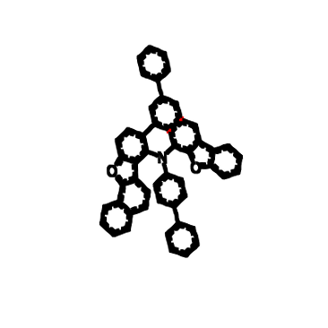 c1ccc(-c2ccc(N(c3cccc4c3oc3ccccc34)c3c(-c4cccc(-c5ccccc5)c4)ccc4oc5c6ccccc6ccc5c34)cc2)cc1